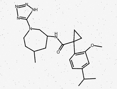 COc1cc(C(C)C)ccc1C1(C(=O)NC2CC(C)CCN(c3nnn[nH]3)C2)CC1